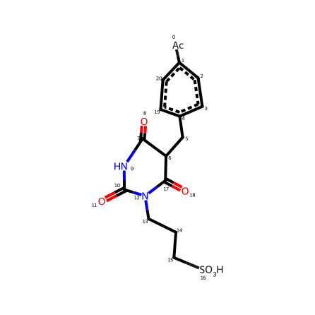 CC(=O)c1ccc(CC2C(=O)NC(=O)N(CCCS(=O)(=O)O)C2=O)cc1